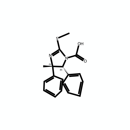 CSC1=N[C@@](C)(c2ccccc2)[C@@H](c2ccccc2)N1C(=O)O